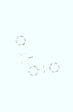 NC(Oc1ccccc1)C(=O)Nc1cccc(S(=O)(=O)c2ccccc2)c1